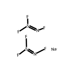 FN=S(F)F.FN=S(F)F.[Na]